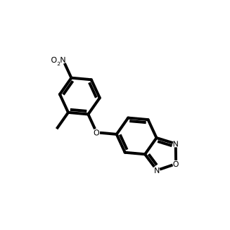 Cc1cc([N+](=O)[O-])ccc1Oc1ccc2nonc2c1